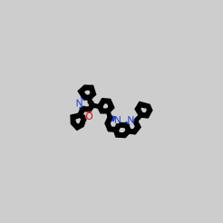 c1ccc(-c2ccc3ccc4ccc(-c5cccc(-c6c7ccccc7nc7c6oc6ccccc67)c5)nc4c3n2)cc1